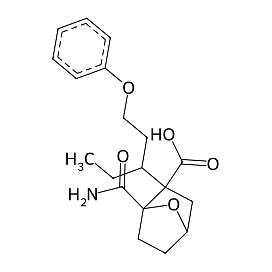 CCC(CCOc1ccccc1)C1(C(=O)O)CC2CCC1(C(N)=O)O2